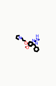 CNc1nc(C2CCCCC2)c2cc(OC)c(OCCCN3CCCC3)cc2n1